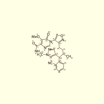 COc1c(C(N)=O)ncn(-c2conc2CCC(C)C(c2cnn(C)c2)c2ccccc2C#N)c1=O